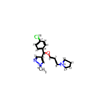 Cn1cc(C(OCCCN2CCCC2)c2ccc(Cl)cc2)cn1